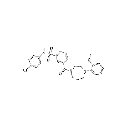 COc1ccccc1N1CCCN(C(=O)c2cccc(S(=O)(=O)Nc3ccc(Cl)cc3)c2)CC1